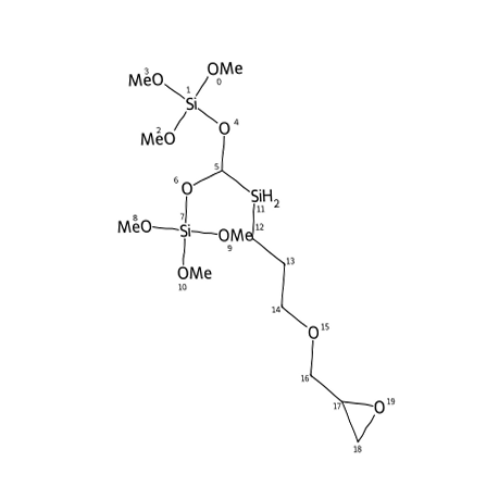 CO[Si](OC)(OC)OC(O[Si](OC)(OC)OC)[SiH2]CCCOCC1CO1